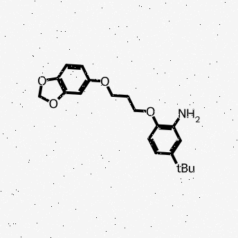 CC(C)(C)c1ccc(OCCCOc2ccc3c(c2)OCO3)c(N)c1